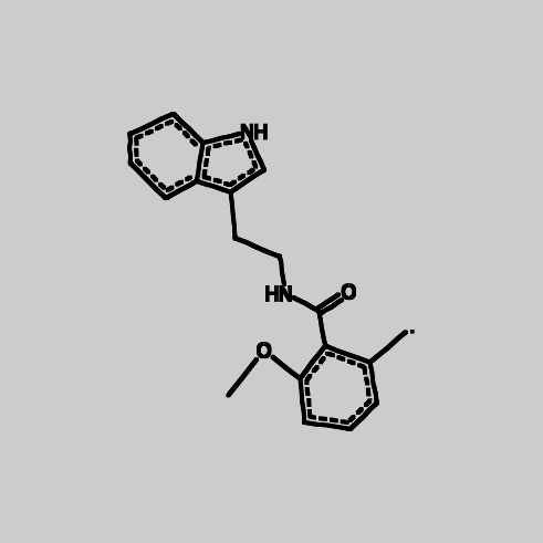 [CH2]c1cccc(OC)c1C(=O)NCCc1c[nH]c2ccccc12